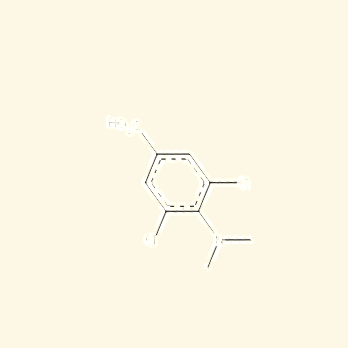 CN(C)c1c(Cl)cc(C(=O)O)cc1Cl